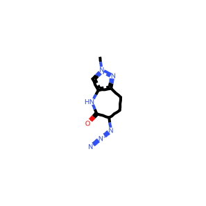 Cn1cc2c(n1)CCC(N=[N+]=[N-])C(=O)N2